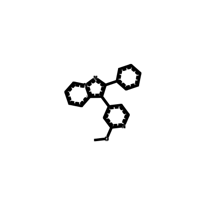 COc1cc(-c2c(-c3ccccc3)nn3ccccc23)ccn1